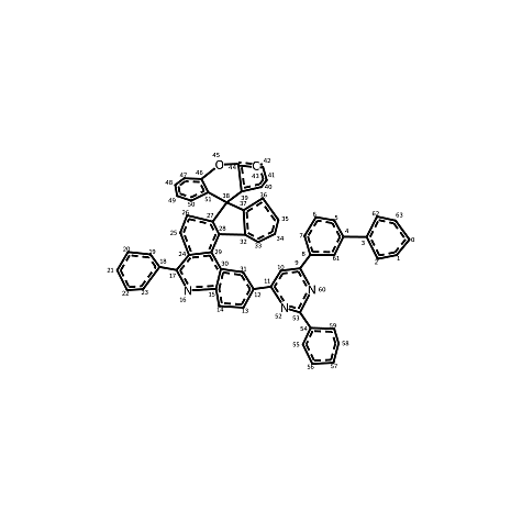 c1ccc(-c2cccc(-c3cc(-c4ccc5nc(-c6ccccc6)c6ccc7c(c6c5c4)-c4ccccc4C74c5ccccc5Oc5ccccc54)nc(-c4ccccc4)n3)c2)cc1